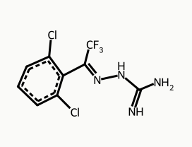 N=C(N)N/N=C(/c1c(Cl)cccc1Cl)C(F)(F)F